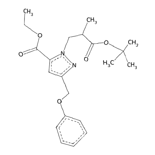 CCOC(=O)c1cc(COc2ccccc2)nn1CC(C)C(=O)OC(C)(C)C